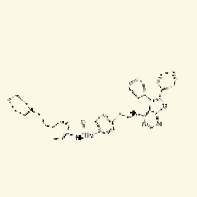 O=C(Nc1ccc(CCNc2ncnc3oc(-c4ccccc4)c(-c4ccccc4)c23)cc1)Nc1ccc(CCN2CCCCC2)cc1